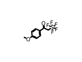 COc1ccc(C(=O)CS(F)(F)(F)(F)F)cc1